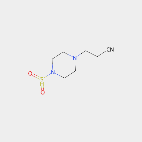 N#CCCN1CCN([SH](=O)=O)CC1